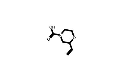 C=CC1CN(C(=O)O)CCO1